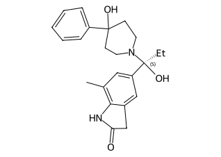 CC[C@](O)(c1cc(C)c2c(c1)CC(=O)N2)N1CCC(O)(c2ccccc2)CC1